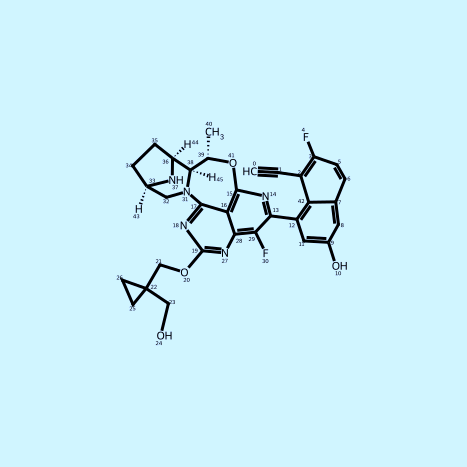 C#Cc1c(F)ccc2cc(O)cc(-c3nc4c5c(nc(OCC6(CO)CC6)nc5c3F)N3C[C@H]5CC[C@H](N5)[C@H]3[C@H](C)O4)c12